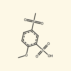 COc1ccc(S(C)(=O)=O)cc1S(=O)(=O)O